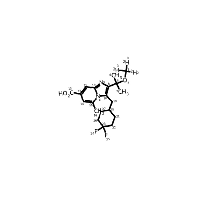 [2H]C([2H])([2H])OC(C)(C)c1nc2cc(C(=O)O)cc(C)n2c1CC1CCC(F)(F)CC1